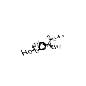 CC(=O)N(C)c1ccc(OB(O)O)cc1